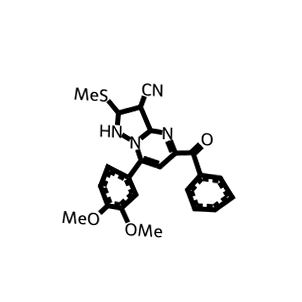 COc1ccc(C2=CC(C(=O)c3ccccc3)=NC3C(C#N)C(SC)NN23)cc1OC